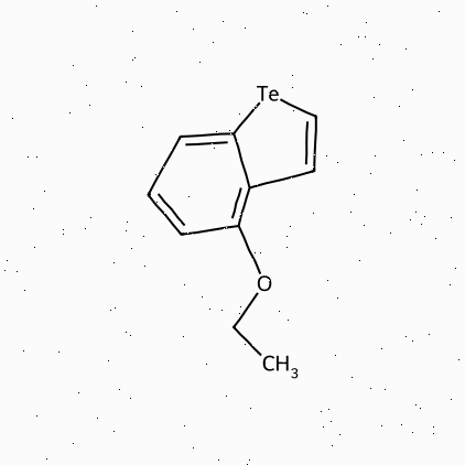 CCOc1cccc2[te]ccc12